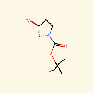 CC(C)(C)OC(=O)N1CC[C@H]([O])C1